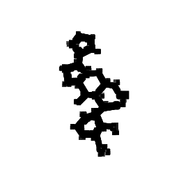 CC1c2nnc(-c3nccs3)n2CC(CO)N1C(=O)c1cccc(C(F)(F)F)c1Cl